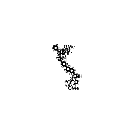 COC(=O)N[C@H](C(=O)N1CCC[C@H]1c1nc(-c2ccc3cc(-c4ccc(-c5cnc([C@@H]6S[C@@H](c7ccccc7)CN6C(=O)[C@@H](NC(=O)OC)C(C)C)[nH]5)cc4)ccc3c2)c[nH]1)C(C)C